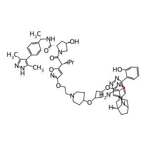 Cc1n[nH]c(C)c1-c1ccc([C@H](C)NC(=O)[C@@H]2C[C@@H](O)CN2C(=O)[C@H](c2cc(OCCN3CCC(OC4CC(Oc5cc(N6C7CC[C@@H]6CN(c6cc(-c8ccccc8O)nnc6N)C7)ccn5)C4)CC3)no2)C(C)C)cc1